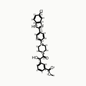 COC(=O)c1cccc(C(O)C(=O)N2CCN(c3ccc(-c4nc5cc(Cl)ccc5[nH]4)cn3)CC2)c1